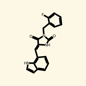 O=C1N/C(=C\c2cccc3cc[nH]c23)C(=O)N1Cc1ccccc1F